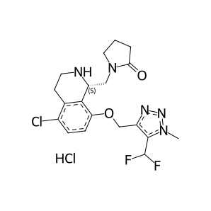 Cl.Cn1nnc(COc2ccc(Cl)c3c2[C@@H](CN2CCCC2=O)NCC3)c1C(F)F